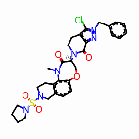 CN1C(=O)[C@@H](N2CCc3c(nn(Cc4ccccc4)c3Cl)C2=O)COc2ccc3c(c21)CCN(S(=O)(=O)N1CCCC1)C3